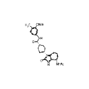 COc1cc(NC(=O)[C@H]2CC[C@@H](n3c(=O)[nH]c4c(NC(C)=O)cccc43)CC2)ccc1C